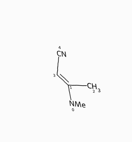 CNC(C)=CC#N